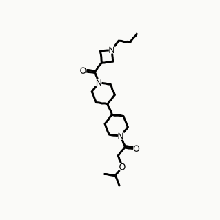 CCCN1CC(C(=O)N2CCC(C3CCN(C(=O)COC(C)C)CC3)CC2)C1